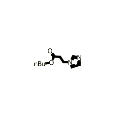 CCCCOC(=O)CCn1ccnc1